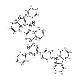 c1ccc(-c2nc(-c3ccc(-n4c5ccccc5c5ccccc54)cc3)nc(-c3ccc(-c4nc5ccccc5c5oc6ccccc6c45)c4ccccc34)n2)cc1